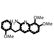 COc1ccccc1Cc1cc2ccc(OC)c(OC)c2nc1N